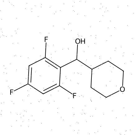 OC(c1c(F)cc(F)cc1F)C1CCOCC1